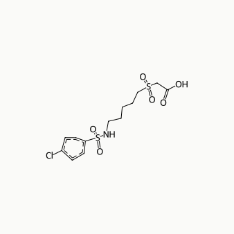 O=C(O)CS(=O)(=O)CCCCCNS(=O)(=O)c1ccc(Cl)cc1